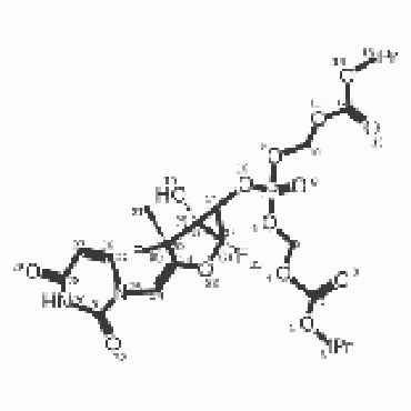 CC(C)OC(=O)OCOP(=O)(OCOC(=O)OC(C)C)OC1[C@]2(O)[C@@](C)(F)C(=Cn3ccc(=O)[nH]c3=O)O[C@]12F